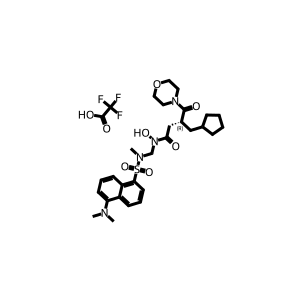 CN(C)c1cccc2c(S(=O)(=O)N(C)CN(O)C(=O)C[C@@H](CC3CCCC3)C(=O)N3CCOCC3)cccc12.O=C(O)C(F)(F)F